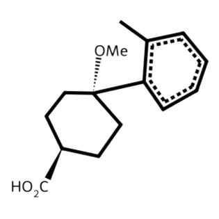 CO[C@]1(c2ccccc2C)CC[C@@H](C(=O)O)CC1